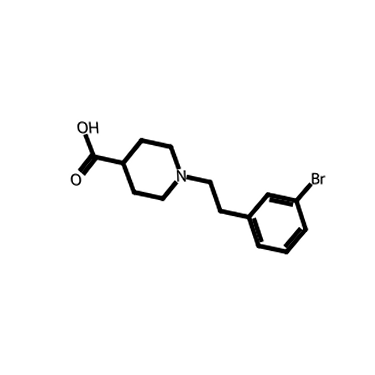 O=C(O)C1CCN(CCc2cccc(Br)c2)CC1